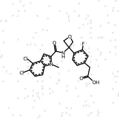 Cn1c(C(=O)NC2(c3ccc(CC(=O)O)cc3F)COC2)cc2c(Cl)c(Cl)ccc21